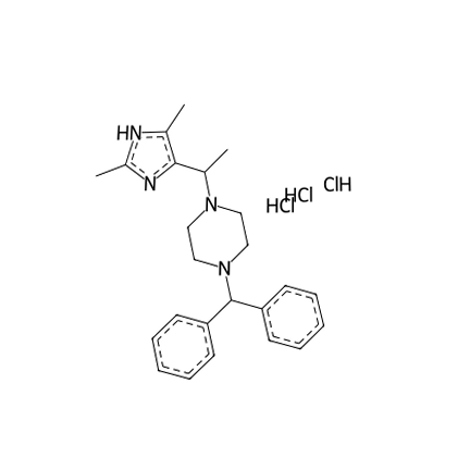 Cc1nc(C(C)N2CCN(C(c3ccccc3)c3ccccc3)CC2)c(C)[nH]1.Cl.Cl.Cl